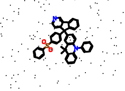 CC1(C)c2ccccc2N(c2ccccc2)c2ccc(C3(c4ccc(S(=O)(=O)c5ccccc5)cc4)c4ccccc4-c4cnccc43)cc21